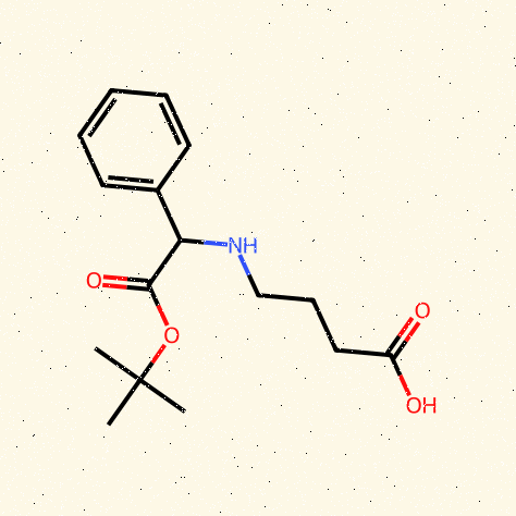 CC(C)(C)OC(=O)C(NCCCC(=O)O)c1ccccc1